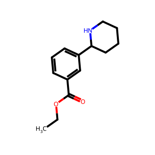 CCOC(=O)c1cccc(C2CCCCN2)c1